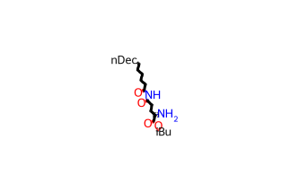 CCCCCCCCCCCCCCCC(=O)NC(=O)CC[C@H](N)C(=O)OC(C)CC